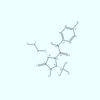 CSCC[C@H]1C(=O)N(C)[C@@H](C(C)(C)C)N1C(=O)N(C)c1ccc(C)cc1